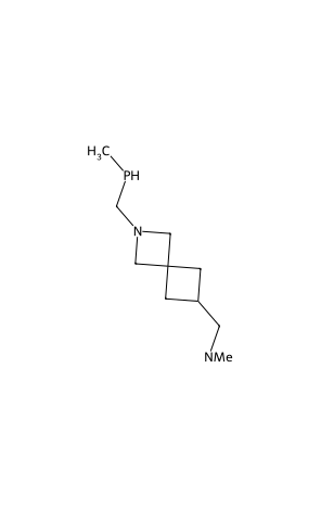 CNCC1CC2(C1)CN(CPC)C2